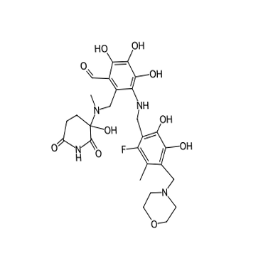 Cc1c(F)c(CNc2c(O)c(O)c(O)c(C=O)c2CN(C)C2(O)CCC(=O)NC2=O)c(O)c(O)c1CN1CCOCC1